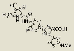 CNc1nc(-c2nc(N3CC[C@@H](NC(=O)c4[nH]c(C)c(Cl)c4Cl)[C@@H](F)C3)sc2C(=O)O)cs1